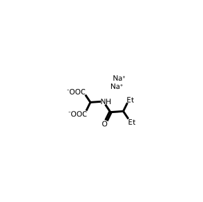 CCC(CC)C(=O)NC(C(=O)[O-])C(=O)[O-].[Na+].[Na+]